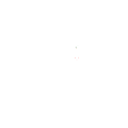 COC1(Cc2ccccc2Cl)CCC(C(C)C)CC1